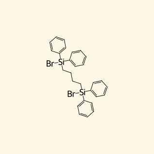 Br[Si](CCCC[Si](Br)(c1ccccc1)c1ccccc1)(c1ccccc1)c1ccccc1